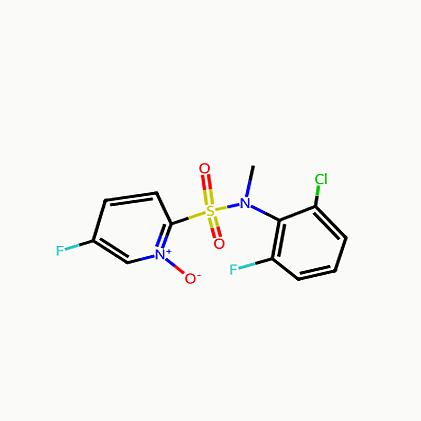 CN(c1c(F)cccc1Cl)S(=O)(=O)c1ccc(F)c[n+]1[O-]